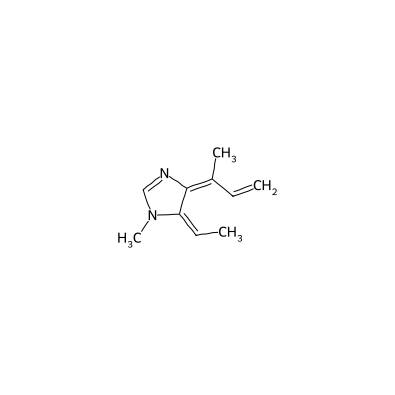 C=C/C(C)=c1/ncn(C)/c1=C/C